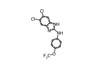 FC(F)(F)Oc1ccc(Nc2nc3cc(Cl)c(Cl)cc3[nH]2)cc1